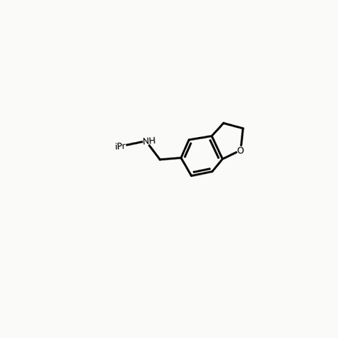 CC(C)NCc1ccc2c(c1)CCO2